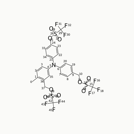 Cc1ccc(N(c2ccc(COS(=O)(=O)C(F)(F)F)cc2)c2ccc(OS(=O)(=O)C(F)(F)F)cc2)cc1COS(=O)(=O)C(F)(F)F